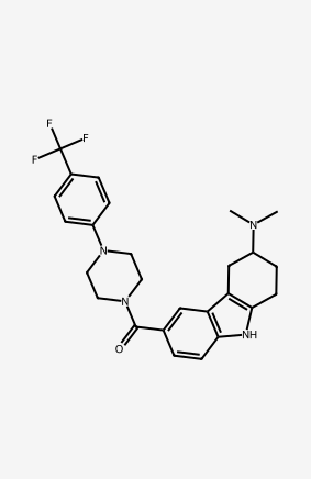 CN(C)C1CCc2[nH]c3ccc(C(=O)N4CCN(c5ccc(C(F)(F)F)cc5)CC4)cc3c2C1